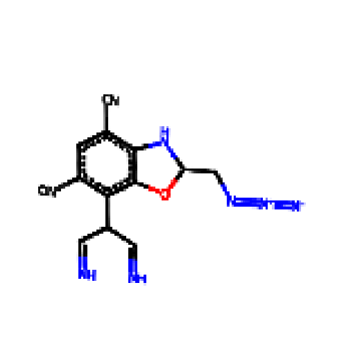 N#Cc1cc(N=O)c(C(C=N)C=N)c2c1NC(CN=[N+]=[N-])O2